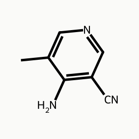 Cc1cncc(C#N)c1N